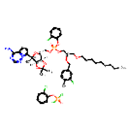 CCCCCCCCCCCCCCCCCCOC[C@H](COP(=O)(OC[C@H]1O[C@@](C#N)(c2ccc3c(N)ncnn23)[C@@H]2OC(C)(C)O[C@@H]21)Oc1ccccc1Cl)OCc1ccc(C#N)c(Cl)c1.O=P(Cl)(Cl)Oc1ccccc1Cl